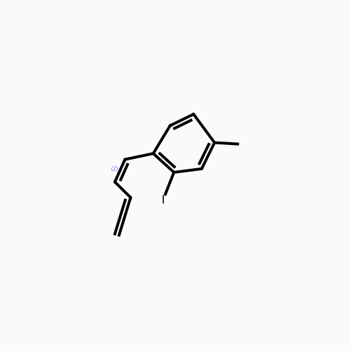 C=C/C=C\c1ccc(C)cc1I